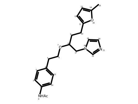 CC(=O)Nc1ccc(CCOC(CCc2ccc(C)o2)Cn2ccnc2)cc1